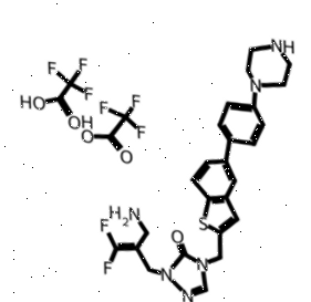 NCC(Cn1ncn(Cc2cc3cc(-c4ccc(N5CCNCC5)cc4)ccc3s2)c1=O)=C(F)F.O=C(O)C(F)(F)F.O=C(O)C(F)(F)F